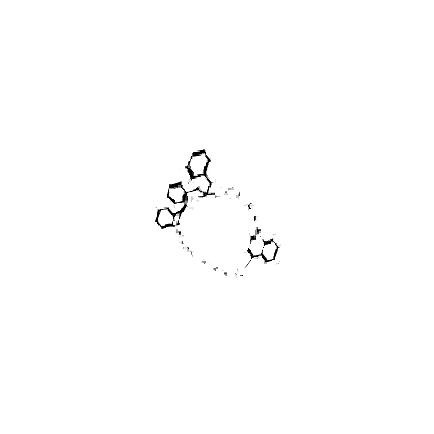 c1ccc(CC2(Cc3ccccc3)CCCCC[n+]3ccc(c4ccccc43)NCCCCCC[n+]3ccc(c4ccccc43)N2)cc1